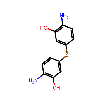 Nc1ccc(Sc2ccc(N)c(O)c2)cc1O